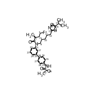 C=C(CCF)C(=O)N(CCCCCc1noc(C(C)C)n1)c1cccc(-c2ccc(NS(C)(=O)=O)cc2)c1